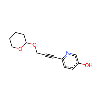 Oc1ccc(C#CCOC2CCCCO2)nc1